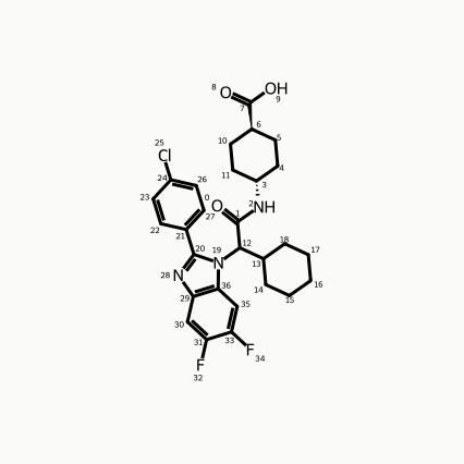 O=C(N[C@H]1CC[C@H](C(=O)O)CC1)C(C1CCCCC1)n1c(-c2ccc(Cl)cc2)nc2cc(F)c(F)cc21